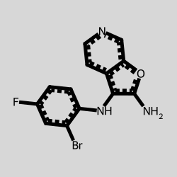 Nc1oc2cnccc2c1Nc1ccc(F)cc1Br